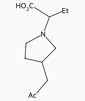 CCC(C(=O)O)N1CCC(CC(C)=O)C1